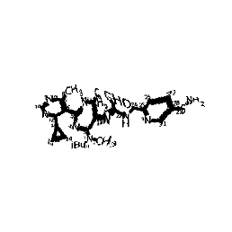 CC[C@H](C)N(C)c1nc(-c2c(C)ncnc2C2CC2)nc(C)c1/N=C(\C=O)NCc1ccc(SN)cn1